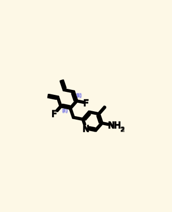 C=C/C=C(F)\C(Cc1cc(C)c(N)cn1)=C(\F)C=C